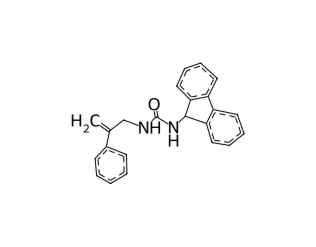 C=C(CNC(=O)NC1c2ccccc2-c2ccccc21)c1ccccc1